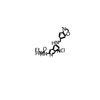 CCNC(=O)Nc1cc2cc(NCc3ccc4c(c3)OCCN4C)cc(C)c2cn1.Cl